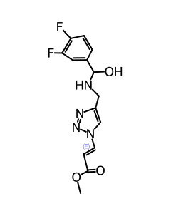 COC(=O)/C=C/n1cc(CNC(O)c2ccc(F)c(F)c2)nn1